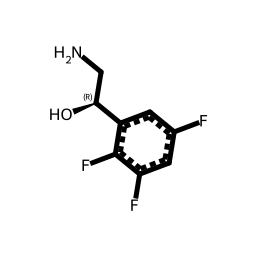 NC[C@H](O)c1cc(F)cc(F)c1F